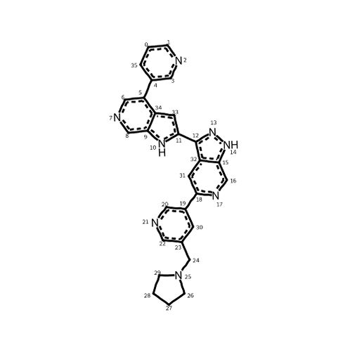 c1cncc(-c2cncc3[nH]c(-c4n[nH]c5cnc(-c6cncc(CN7CCCC7)c6)cc45)cc23)c1